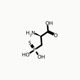 N[C@H](CP(O)(O)=S)C(=O)O